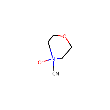 N#C[N+]1([O-])CCOCC1